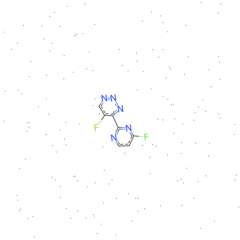 Fc1ccnc(-c2nnncc2F)n1